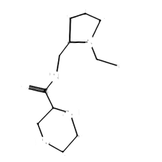 CCN1CCCC1CNC(=O)C1CNCCN1